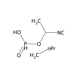 CCCC.[C-]#[N+]C(C)O[PH](=O)O